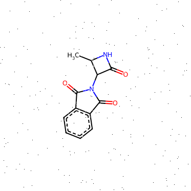 CC1NC(=O)C1N1C(=O)c2ccccc2C1=O